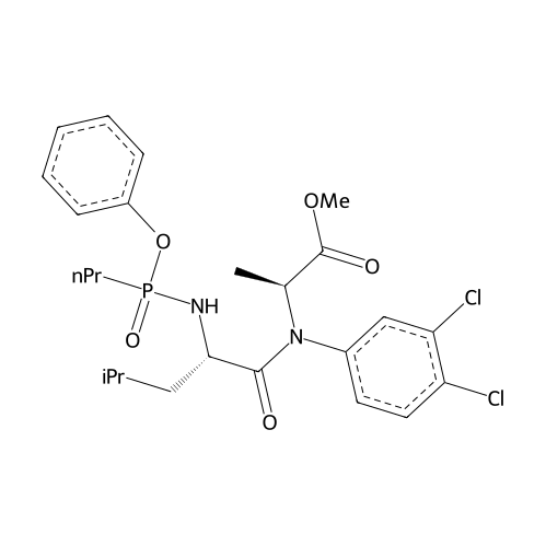 CCCP(=O)(N[C@@H](CC(C)C)C(=O)N(c1ccc(Cl)c(Cl)c1)[C@@H](C)C(=O)OC)Oc1ccccc1